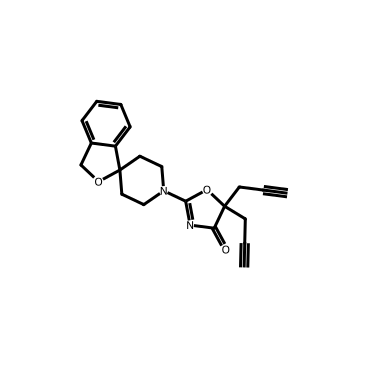 C#CCC1(CC#C)OC(N2CCC3(CC2)OCc2ccccc23)=NC1=O